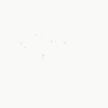 CC(C(=O)N[C@]1(c2ccccc2)CC[C@H](C2CCN(Cc3ccccc3)CC2O)CC1)c1cc(C(F)(F)F)cc(C(F)(F)F)c1